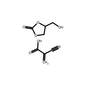 C=C(C#N)C(=O)O.O=C1OCC(CO)O1